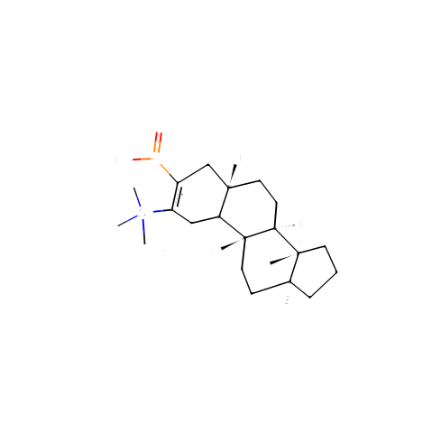 CC(C)[N+](C=O)(C1=C([PH](=O)O)C[C@@H]2CC[C@H]3[C@@H]4CCC[C@@]4(C)CC[C@@H]3[C@@]2(C)C1)C(C)C